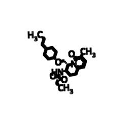 CCCC1CCC(OC[C@H]2[C@@H](NS(=O)(=O)CC)CCc3ccc(C)c(=O)n32)CC1